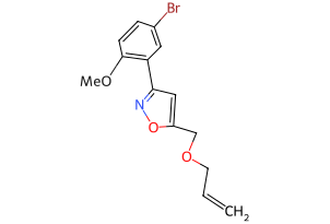 C=CCOCc1cc(-c2cc(Br)ccc2OC)no1